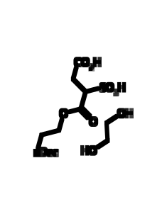 CCCCCCCCCCCCOC(=O)C(CC(=O)O)S(=O)(=O)O.OCCO